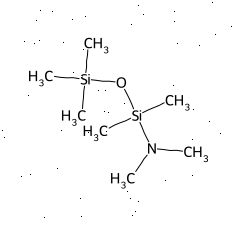 CN(C)[Si](C)(C)O[Si](C)(C)C